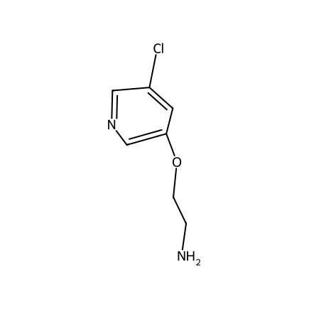 NCCOc1cncc(Cl)c1